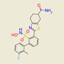 Cc1c(F)cccc1-c1cccc(-c2nc3c(s2)CC(C(N)=O)CC3)c1S(=O)(=O)NO